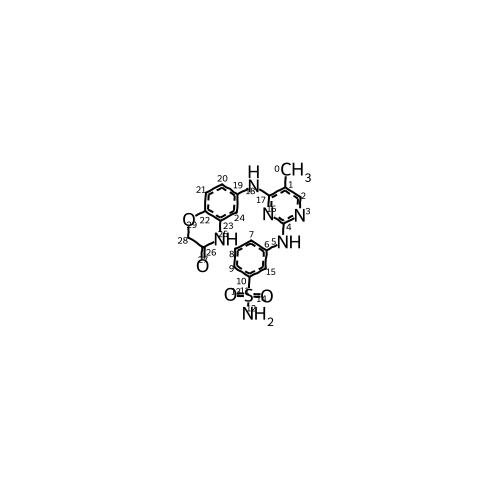 Cc1cnc(Nc2cccc(S(N)(=O)=O)c2)nc1Nc1ccc2c(c1)NC(=O)CO2